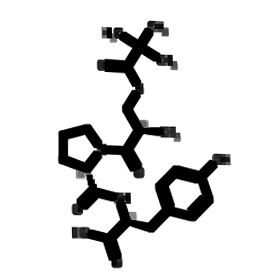 C[C@H](CSC(=O)C(C)(C)C)C(=O)N1CCC[C@H]1C(=O)N[C@@H](Cc1ccc(O)cc1)C(=O)O